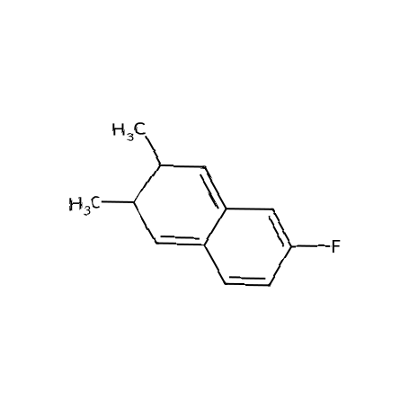 CC1C=c2ccc(F)cc2=CC1C